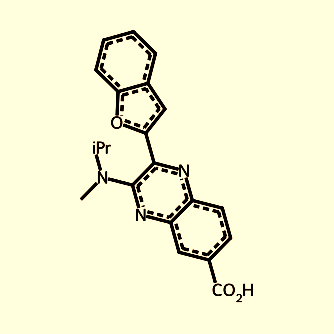 CC(C)N(C)c1nc2cc(C(=O)O)ccc2nc1-c1cc2ccccc2o1